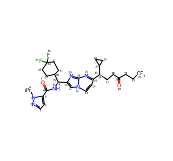 CC(C)n1nccc1C(=O)N[C@H](c1cn2ccc([C@H](CCC(=O)CCC(F)(F)F)C3CC3)nc2n1)C1CCC(F)(F)CC1